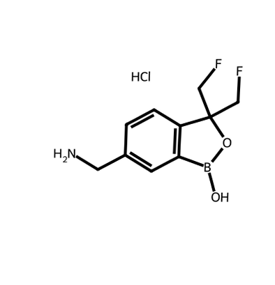 Cl.NCc1ccc2c(c1)B(O)OC2(CF)CF